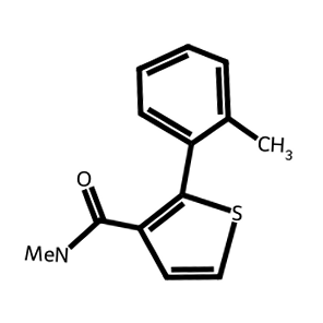 CNC(=O)c1ccsc1-c1ccccc1C